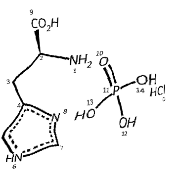 Cl.N[C@@H](Cc1c[nH]cn1)C(=O)O.O=P(O)(O)O